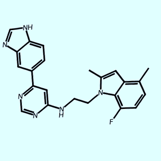 Cc1ccc(F)c2c1cc(C)n2CCNc1cc(-c2ccc3[nH]cnc3c2)ncn1